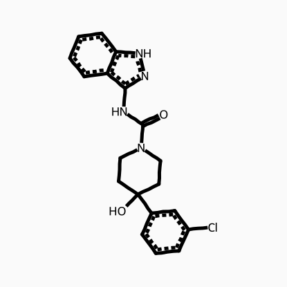 O=C(Nc1n[nH]c2ccccc12)N1CCC(O)(c2cccc(Cl)c2)CC1